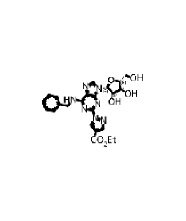 CCOC(=O)c1cnn(-c2nc(NCc3ccccc3)c3ncn([C@@H]4O[C@H](CO)[C@@H](O)[C@@H]4O)c3n2)c1